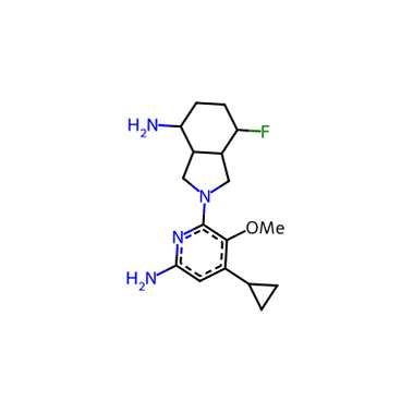 COc1c(C2CC2)cc(N)nc1N1CC2C(N)CCC(F)C2C1